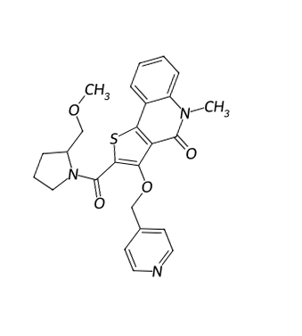 COCC1CCCN1C(=O)c1sc2c(c1OCc1ccncc1)c(=O)n(C)c1ccccc21